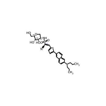 CCCN(CCC)c1ccc2cc(-c3ccc(/C=C(\C#N)S(=O)(=O)N[C@H]4CO[C@H](CO)[C@@H](O)[C@@H]4O)s3)ccc2c1